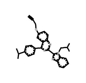 C#CCOc1ccc2nc(-c3nc4ccccc4n3CC(C)C)nc(-c3ccc(C(C)C)cc3)c2c1